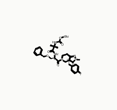 CN1N=C2CCN(C(=O)[C@@H](COCc3ccccc3)NC(=O)C(C)(C)NC(=O)OC(C)(C)C)C[C@]2(Cc2ccc(F)cc2)C1=O